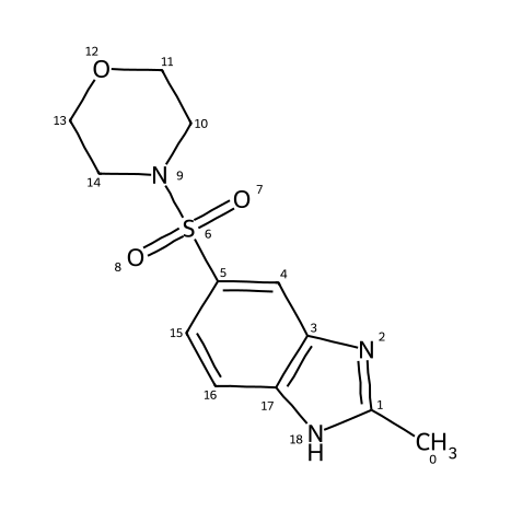 Cc1nc2cc(S(=O)(=O)N3CCOCC3)ccc2[nH]1